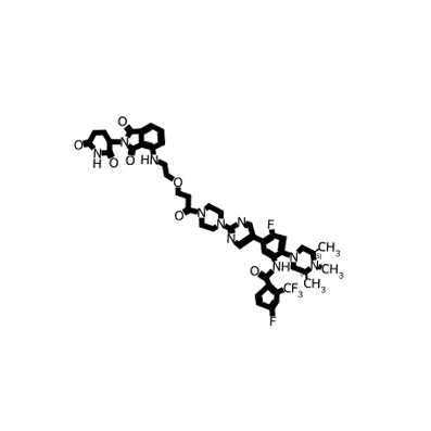 C[C@@H]1CN(c2cc(F)c(-c3cnc(N4CCN(C(=O)CCOCCNc5cccc6c5C(=O)N(C5CCC(=O)NC5=O)C6=O)CC4)nc3)cc2NC(=O)c2ccc(F)cc2C(F)(F)F)C[C@H](C)N1C